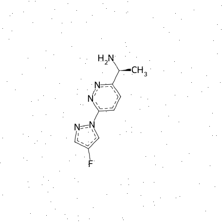 C[C@H](N)c1ccc(-n2cc(F)cn2)nn1